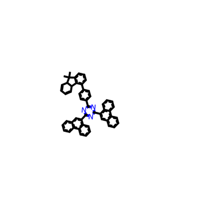 CC1(C)c2cccc(-c3ccc(-c4nc(-c5cc6ccccc6c6ccccc56)nc(-c5cc6ccccc6c6ccccc56)n4)cc3)c2C2C=CC=CC21